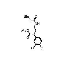 COC(=O)C(CCNC(=O)OC(C)(C)C)c1ccc(Cl)c(Cl)c1